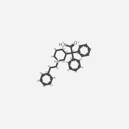 NC(=O)C(c1ccccc1)(c1ccccc1)C1CCCN(CCc2ccccc2)C1